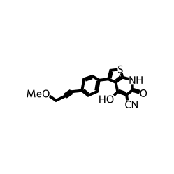 COCC#Cc1ccc(-c2csc3[nH]c(=O)c(C#N)c(O)c23)cc1